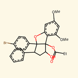 CCC(=O)OC12c3c(OC)cc(OC)cc3OC1(c1ccc(Br)cc1)C(c1ccccc1)CC2O